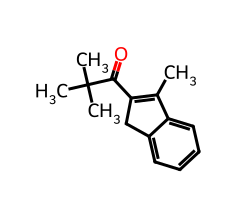 CC1=C(C(=O)C(C)(C)C)Cc2ccccc21